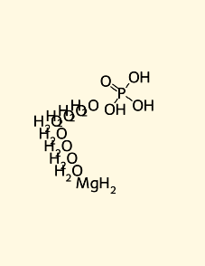 O.O.O.O.O.O.O.O.O=P(O)(O)O.[MgH2]